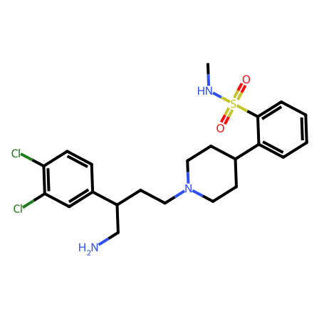 CNS(=O)(=O)c1ccccc1C1CCN(CCC(CN)c2ccc(Cl)c(Cl)c2)CC1